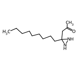 CCCCCCCCCC1(CC(C)=O)NN1